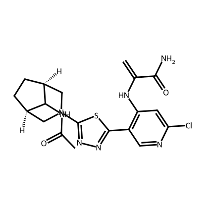 C=C(Nc1cc(Cl)ncc1-c1nnc(N2C[C@H]3CC[C@@H](C2)C3NC(C)=O)s1)C(N)=O